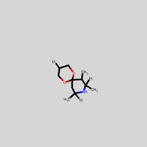 CC[C]1COC2(CC(C)(CC)NC(C)(CC)C2C)OC1